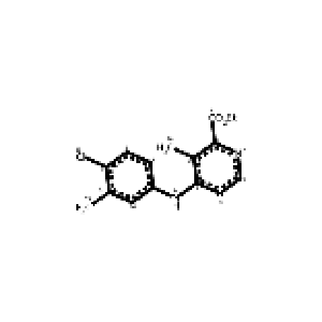 CCOC(=O)c1ncnc(Nc2ccc(Cl)c(C(F)(F)F)c2)c1C